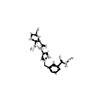 CCCNC(=O)c1cccc(Cn2cc(NC(=O)c3nc(Br)cnc3N)cn2)c1